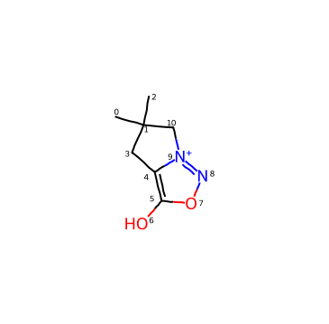 CC1(C)Cc2c(O)on[n+]2C1